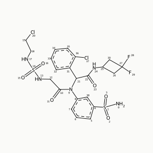 NS(=O)(=O)c1cccc(N(C(=O)CNS(=O)(=O)NCCCl)C(C(=O)NC2CC(F)(F)C2)c2ccccc2Cl)c1